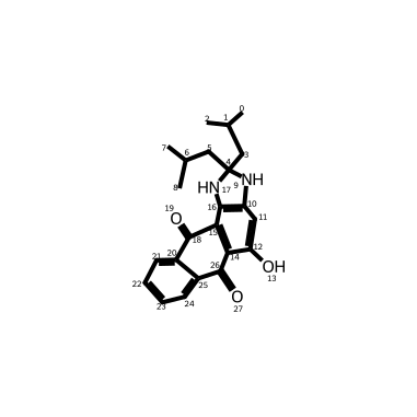 CC(C)CC1(CC(C)C)Nc2cc(O)c3c(c2N1)C(=O)c1ccccc1C3=O